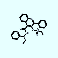 CC[C@H](NC(=O)c1c(OS(=O)(=O)CC)c(-c2ccccc2)nc2ccccc12)c1ccccc1